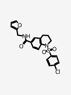 O=C(NCc1ccco1)c1ccc2c(c1)CCCN2S(=O)(=O)c1ccc(Cl)cc1